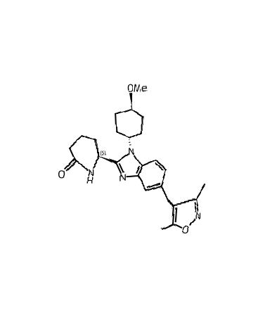 CO[C@H]1CC[C@H](n2c([C@@H]3CCCC(=O)N3)nc3cc(-c4c(C)noc4C)ccc32)CC1